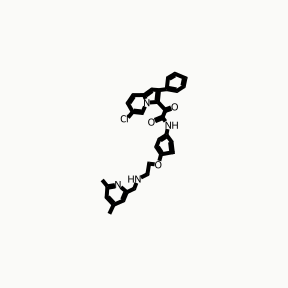 Cc1cc(C)nc(CNCCOc2ccc(NC(=O)C(=O)c3c(-c4ccccc4)cc4ccc(Cl)cn34)cc2)c1